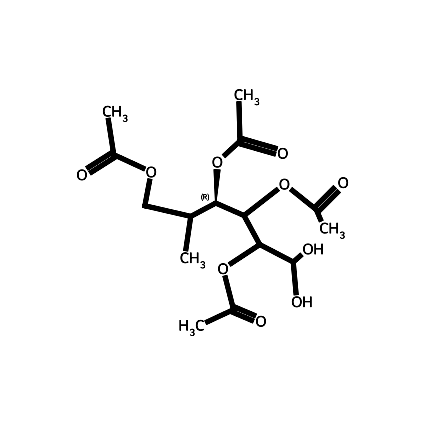 CC(=O)OCC(C)[C@@H](OC(C)=O)C(OC(C)=O)C(OC(C)=O)C(O)O